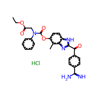 CCOC(=O)CN(C(=O)Oc1ccc2[nH]c(C(=O)c3ccc(C(=N)N)cc3)nc2c1C)c1ccccc1.Cl